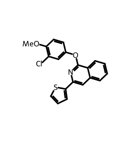 COc1ccc(Oc2nc(-c3cccs3)cc3ccccc23)cc1Cl